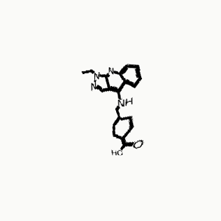 CCn1ncc2c(NCC3CCC(C(=O)O)CC3)c3ccccc3nc21